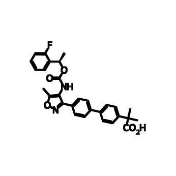 Cc1onc(-c2ccc(-c3ccc(C(C)(C)C(=O)O)cc3)cc2)c1NC(=O)O[C@H](C)c1ccccc1F